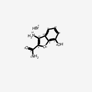 Br.NC(=O)c1oc2c(O)cccc2c1N